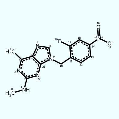 CNc1nc(C)c2ncn(Cc3ccc([N+](=O)[O-])cc3F)c2n1